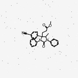 COC(=O)CCC1(c2ccc(C#N)cc2)C(C)N(c2ccccc2)C(=O)N1c1ccccc1